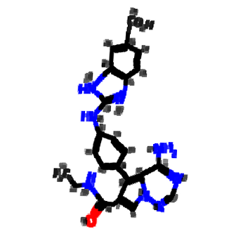 Nc1ncnn2cc(C(=O)NCC(F)(F)F)c(-c3ccc(Nc4nc5ccc(C(=O)O)cc5[nH]4)cc3)c12